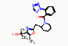 Cc1oc(CC2CCCCN2C(=O)c2ccccc2-n2ncnn2)nc1C(C)(C)O